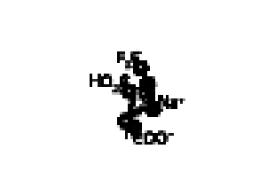 O=C(O)c1ccc(CCN(CCc2ccccc2OCc2ccc(-c3ccc(C(F)(F)F)cc3)cc2Cl)[C@@H]2CCCc3nc(C(=O)[O-])ccc32)cc1.[Na+]